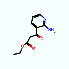 CCOC(=O)CC(=O)c1cccnc1N